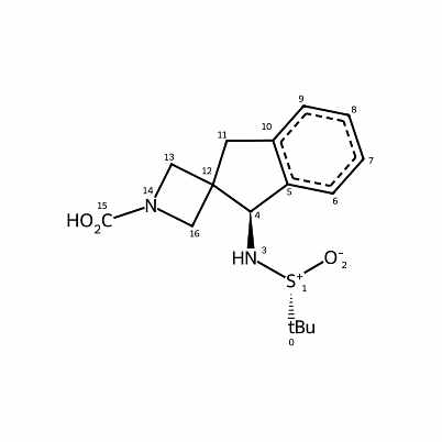 CC(C)(C)[S@@+]([O-])N[C@@H]1c2ccccc2CC12CN(C(=O)O)C2